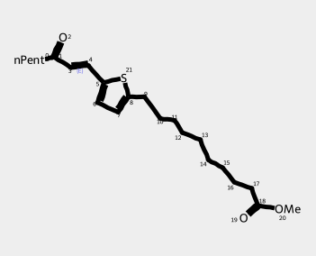 CCCCCC(=O)/C=C/c1ccc(CCCCCCCCCC(=O)OC)s1